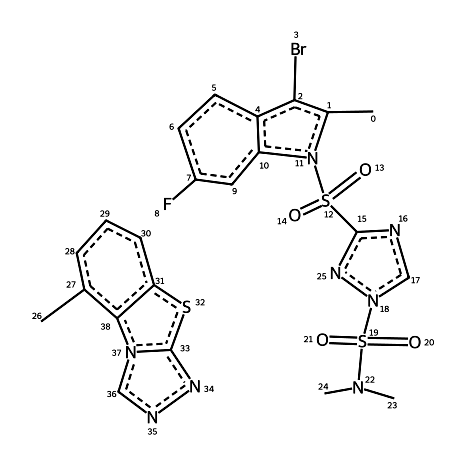 Cc1c(Br)c2ccc(F)cc2n1S(=O)(=O)c1ncn(S(=O)(=O)N(C)C)n1.Cc1cccc2sc3nncn3c12